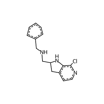 Clc1nccc2c1NC(CNCc1ccccc1)C2